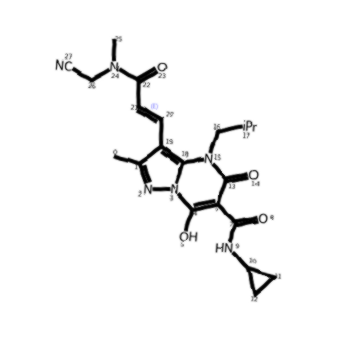 Cc1nn2c(O)c(C(=O)NC3CC3)c(=O)n(CC(C)C)c2c1/C=C/C(=O)N(C)CC#N